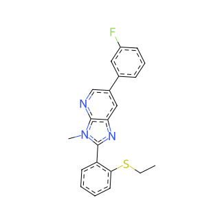 CCSc1ccccc1-c1nc2cc(-c3cccc(F)c3)cnc2n1C